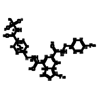 CS(=O)(=O)NC(=O)C12CCC(CNC(=O)c3cc(C(=O)NCc4ccc(F)cc4)nc4c(F)cnn34)(CC1)CC2